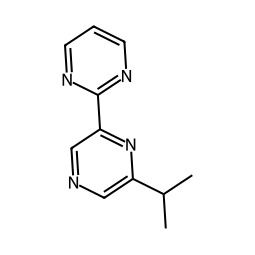 CC(C)c1cncc(-c2ncccn2)n1